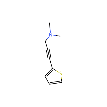 CN(C)CC#Cc1cccs1